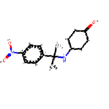 CC(C)(NC1CCC(=O)CC1)c1ccc([N+](=O)[O-])cc1